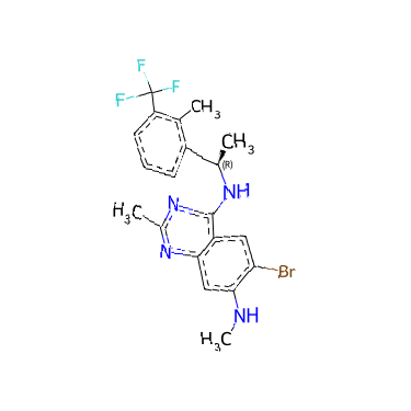 CNc1cc2nc(C)nc(N[C@H](C)c3cccc(C(F)(F)F)c3C)c2cc1Br